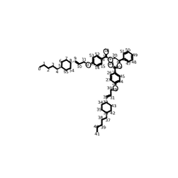 CCCCC[C@H]1CC[C@H](C=CCOc2ccc(C(=O)OC[C@H](OC(=O)c3ccc(OCC=C[C@H]4CC[C@H](CCCCC)CC4)cc3)c3ccccc3)cc2)CC1